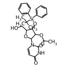 CC(=O)OC1C(O[Si](c2ccccc2)(c2ccccc2)C(C)(C)C)C(CO)OC1n1ccc(=O)[nH]c1=O